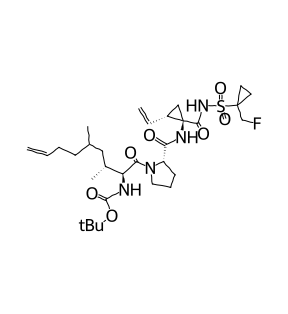 C=CCCC(C)C[C@@H](C)[C@H](NC(=O)OC(C)(C)C)C(=O)N1CCC[C@H]1C(=O)N[C@]1(C(=O)NS(=O)(=O)C2(CF)CC2)C[C@H]1C=C